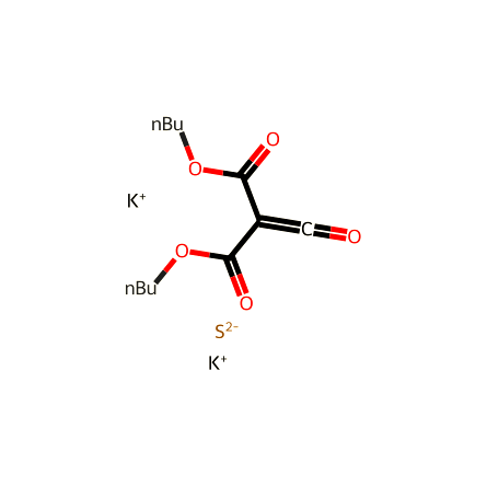 CCCCOC(=O)C(=C=O)C(=O)OCCCC.[K+].[K+].[S-2]